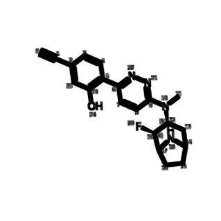 C#Cc1ccc(-c2ccc(N(C)[C@H]3CC4CCC(N4)[C@H]3F)nn2)c(O)c1